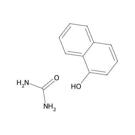 NC(N)=O.Oc1cccc2ccccc12